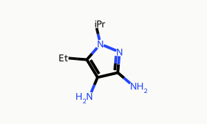 CCc1c(N)c(N)nn1C(C)C